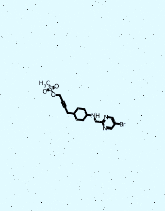 CS(=O)(=O)OCC#CCC1CCC(NCc2ncc(Br)cn2)CC1